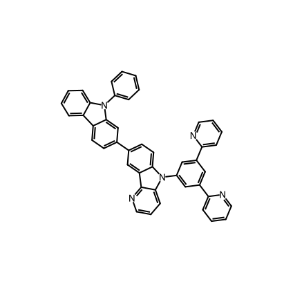 c1ccc(-n2c3ccccc3c3ccc(-c4ccc5c(c4)c4ncccc4n5-c4cc(-c5ccccn5)cc(-c5ccccn5)c4)cc32)cc1